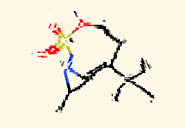 CC1C2=C([Si](C)(C)C)CCOS(=O)(=O)N21